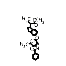 CCC(C(=O)OC)C1CCc2cc(OCCc3nc(-c4ccccc4)oc3C(C)C)ccc21